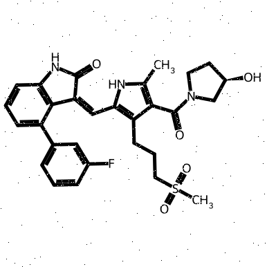 Cc1[nH]c(/C=C2\C(=O)Nc3cccc(-c4cccc(F)c4)c32)c(CCCS(C)(=O)=O)c1C(=O)N1CC[C@@H](O)C1